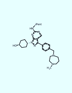 CCC[C@H](C)Nc1ncc2c(-c3ccc(CN4CCCN(C)CC4)cc3)nn([C@H]3CC[C@H](O)CC3)c2n1